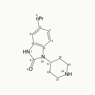 CCCc1ccc2c(c1)[nH]c(=O)n2C1CCNCC1